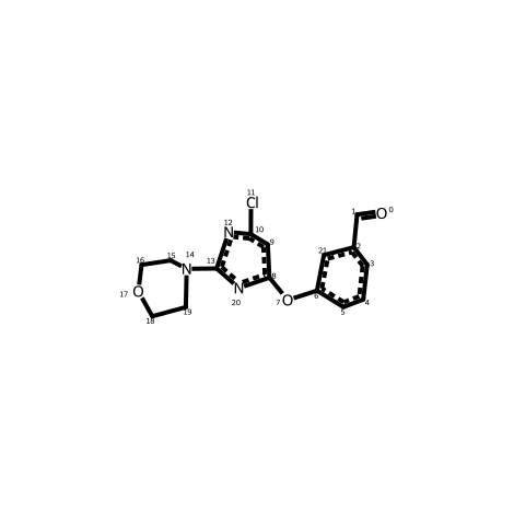 O=Cc1cccc(Oc2cc(Cl)nc(N3CCOCC3)n2)c1